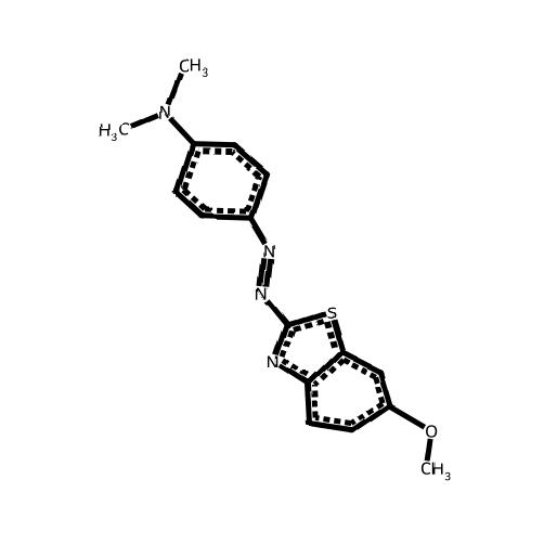 COc1ccc2nc(N=Nc3ccc(N(C)C)cc3)sc2c1